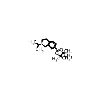 CC(C)N1CCc2ccc(B3OC(C)(C)C(C)(C)O3)cc2C1